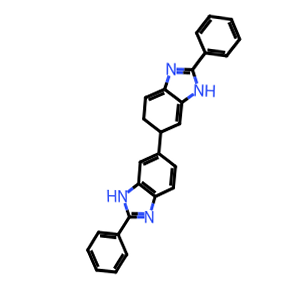 C1=c2nc(-c3ccccc3)[nH]c2=CC(c2ccc3nc(-c4ccccc4)[nH]c3c2)C1